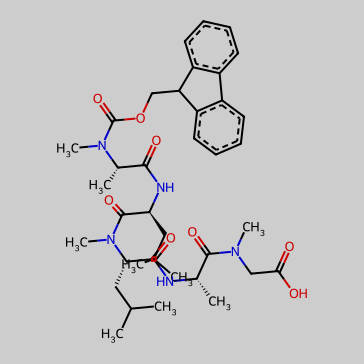 CC(C)C[C@H](NC(=O)[C@H](C)N(C)C(=O)OCC1c2ccccc2-c2ccccc21)C(=O)N(C)[C@@H](CC(C)C)C(=O)N[C@@H](C)C(=O)N(C)CC(=O)O